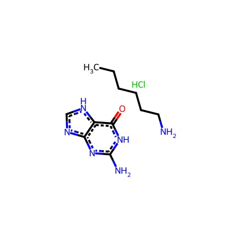 CCCCCCN.Cl.Nc1nc2nc[nH]c2c(=O)[nH]1